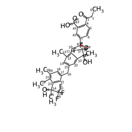 CCC(=O)c1ccc(C(=O)Cc2c(C)cc(Cc3cc(C)c(C)c(C(C)(O)C(F)(F)F)c3)cc2C(C)(O)C(F)(F)F)cc1C(=O)O